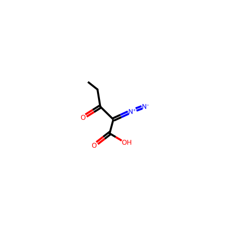 CCC(=O)C(=[N+]=[N-])C(=O)O